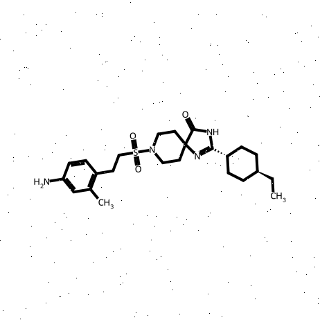 CC[C@H]1CC[C@H](C2=NC3(CCN(S(=O)(=O)CCc4ccc(N)cc4C)CC3)C(=O)N2)CC1